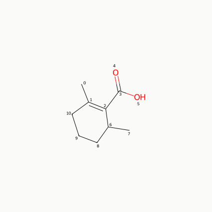 CC1=C(C(=O)O)C(C)CCC1